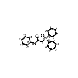 O=C(CP(=O)(c1ccccc1)c1ccccc1)N=C1C=CC=CC1